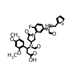 COc1ccc(C(CC(=O)O)N(C=O)C2CC(=O)N(c3cc(N(C=O)NCc4cccs4)ccc3F)C2)c(OC)c1